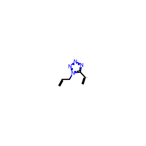 C=[C]c1nnnn1CC=C